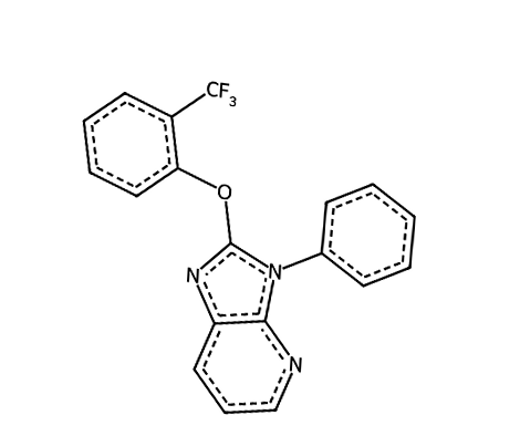 FC(F)(F)c1ccccc1Oc1nc2cccnc2n1-c1ccccc1